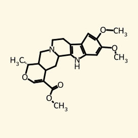 COC(=O)C1=CO[C@H](C)C2CN3CCc4c([nH]c5cc(OC)c(OC)cc45)C3CC12